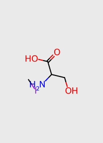 CI.NC(CO)C(=O)O